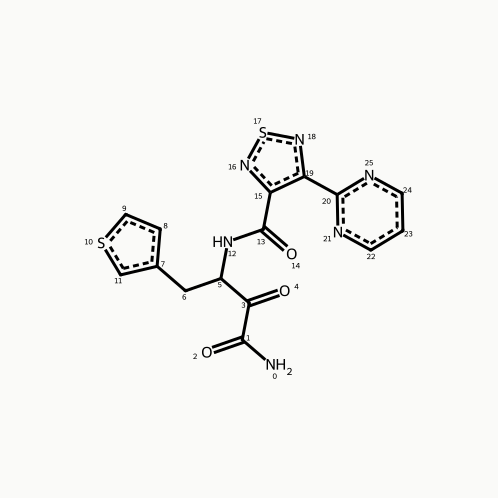 NC(=O)C(=O)C(Cc1ccsc1)NC(=O)c1nsnc1-c1ncccn1